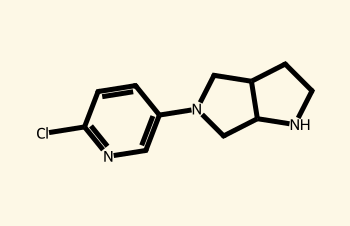 Clc1ccc(N2CC3CCNC3C2)cn1